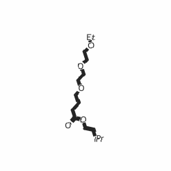 CCOCCOCCOCCCC(=O)OCCC(C)C